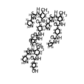 Cc1ccc(NC(=O)c2ccc(NC(=O)Nc3c(C)noc3C)cc2)cc1Nc1nc(-c2cccnc2)cs1.Cc1ccc(NC(=O)c2ccc(NC(=O)Nc3cccs3)cc2)cc1Nc1nc(-c2cccnc2)cs1.Cc1ccc(NC(=O)c2ccc(O)cc2)cc1Nc1nc(-c2cccnc2)cs1